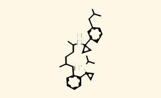 CC(C)Cc1cccc(C2(NC(C)CCC(C)Cc3ccccc3C3(NC(C)C)CC3)CC2)c1